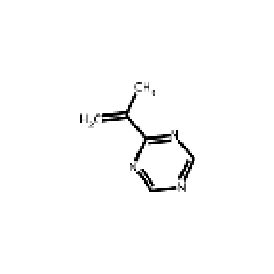 C=C(C)c1ncncn1